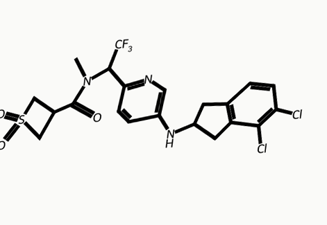 CN(C(=O)C1CS(=O)(=O)C1)C(c1ccc(NC2Cc3ccc(Cl)c(Cl)c3C2)cn1)C(F)(F)F